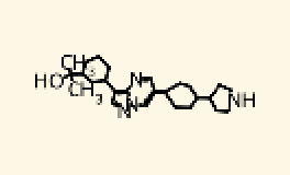 CC(C)(O)C1CCCC(c2cnn3cc(C4CCC(C5CCNCC5)CC4)cnc23)C1